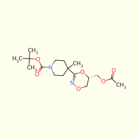 CC(=O)OC[C@@H]1CON=C(C2(C)CCN(C(=O)OC(C)(C)C)CC2)O1